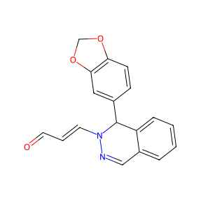 O=CC=CN1N=Cc2ccccc2C1c1ccc2c(c1)OCO2